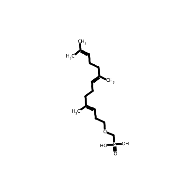 CC(C)=CCCC(C)=CCCC(C)=CCCOCP(=O)(O)O